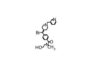 CN(CCO)C(=O)c1ccc(C(Br)=C2CCN(Cc3cccnc3)CC2)cc1